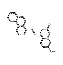 COc1ccc2c(C=Cc3cccc4c3ccc3ccccc34)cc(=O)oc2c1